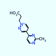 Cc1nccc(-c2cc[n+](CCC(=O)O)nc2)n1